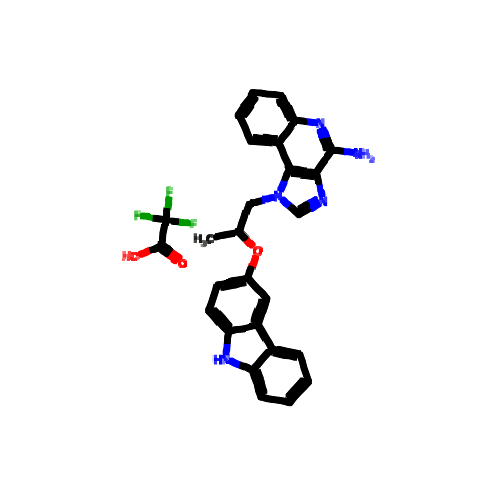 CC(Cn1cnc2c(N)nc3ccccc3c21)Oc1ccc2[nH]c3ccccc3c2c1.O=C(O)C(F)(F)F